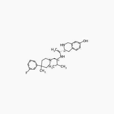 C=C(N[C@H](CN1CCC(C)(c2cccc(F)c2)CC1)C(C)C)[C@H]1Cc2ccc(O)cc2CN1